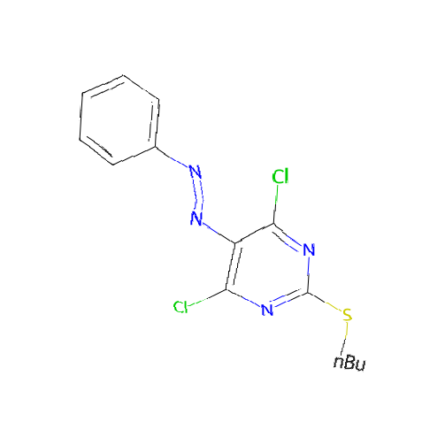 CCCCSc1nc(Cl)c(N=Nc2ccccc2)c(Cl)n1